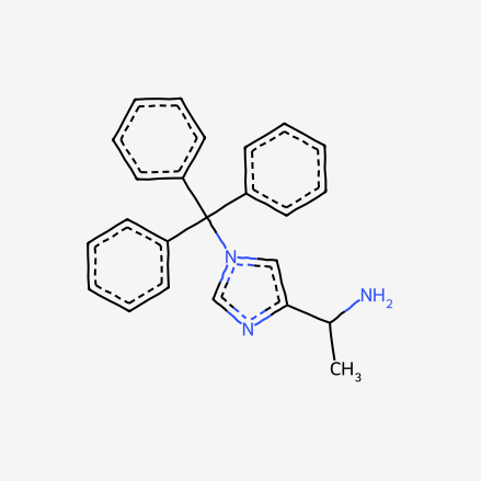 CC(N)c1cn(C(c2ccccc2)(c2ccccc2)c2ccccc2)cn1